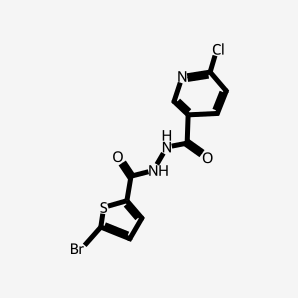 O=C(NNC(=O)c1ccc(Br)s1)c1ccc(Cl)nc1